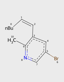 CCCC/C=C\c1cc(Br)cnc1C